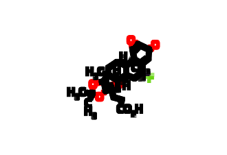 CC1(C)OC2C[C@H]3[C@@H]4C[C@H](F)C5=CC(=O)C6=C(O6)[C@]5(C)[C@H]4CC[C@]3(C)[C@]2(C(=O)CCC(=O)O)O1